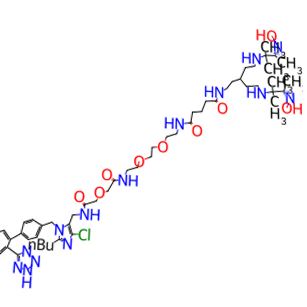 CCCCc1nc(Cl)c(CNC(=O)COCC(=O)NCCOCCOCCNC(=O)CCCC(=O)NCCC(CCNC(C)(C)/C(C)=N\O)CCNC(C)(C)/C(C)=N\O)n1Cc1ccc(-c2ccccc2-c2nn[nH]n2)cc1